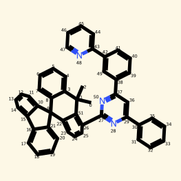 CC1(C)c2ccccc2C2(c3ccccc3-c3ccccc32)c2cccc(-c3nc(-c4ccccc4)cc(-c4cccc(-c5ccccn5)c4)n3)c21